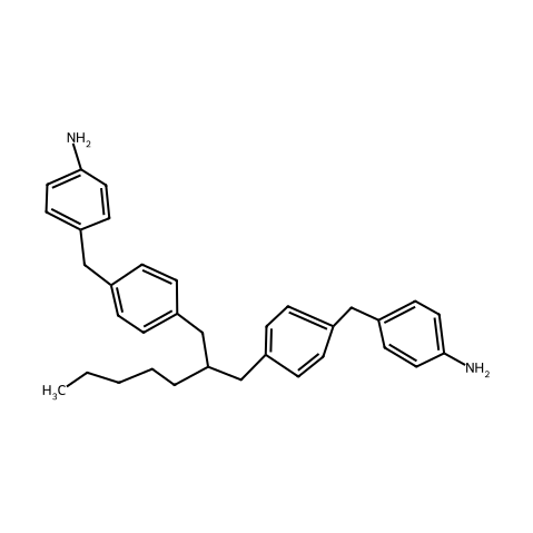 CCCCCC(Cc1ccc(Cc2ccc(N)cc2)cc1)Cc1ccc(Cc2ccc(N)cc2)cc1